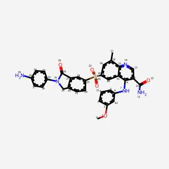 COc1cccc(Nc2c(C(N)=O)cnc3c(C)cc(S(=O)(=O)c4ccc5c(c4)C(=O)N(c4ccc(N)cc4)C5)cc23)c1